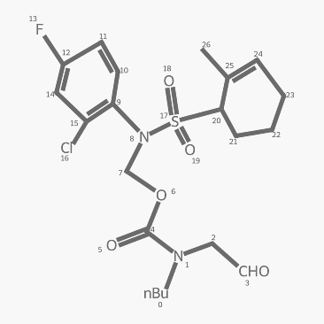 CCCCN(CC=O)C(=O)OCN(c1ccc(F)cc1Cl)S(=O)(=O)C1CCCC=C1C